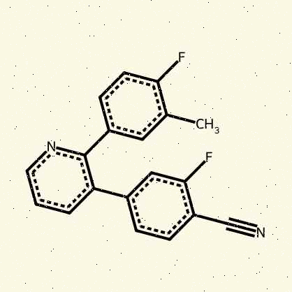 Cc1cc(-c2ncccc2-c2ccc(C#N)c(F)c2)ccc1F